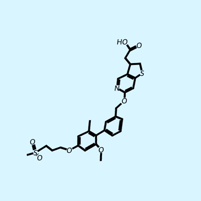 COc1cc(OCCCS(C)(=O)=O)cc(C)c1-c1cccc(COc2cc3c(cn2)C(CC(=O)O)CS3)c1